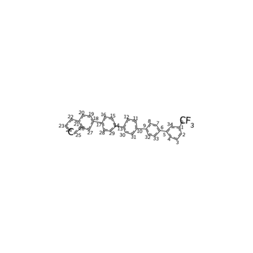 FC(F)(F)c1cccc(-c2ccc(-c3ccc(-c4ccc(-c5ccc6ccccc6c5)cc4)cc3)cc2)c1